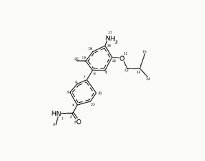 CNC(=O)c1ccc(-c2cc(OCC(C)C)c(N)cc2C)cc1